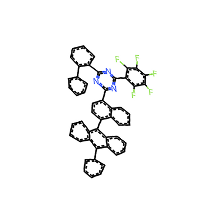 Fc1c(F)c(F)c(-c2nc(-c3ccccc3-c3ccccc3)nc(-c3ccc(-c4c5ccccc5c(-c5ccccc5)c5ccccc45)c4ccccc34)n2)c(F)c1F